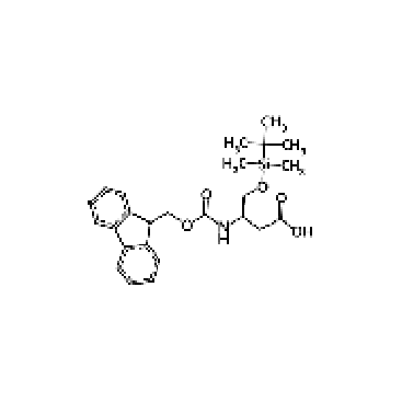 CC(C)(C)[Si](C)(C)OC[C@@H](CC(=O)O)NC(=O)OCC1c2ccccc2-c2ccccc21